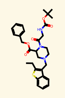 CCc1sc2ccccc2c1CN1CCN(C(=O)CNC(=O)OC(C)(C)C)C(C(=O)OCc2ccccc2)C1